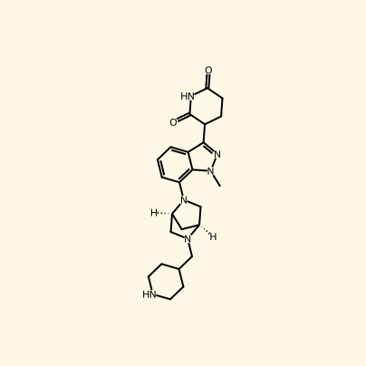 Cn1nc(C2CCC(=O)NC2=O)c2cccc(N3C[C@@H]4C[C@H]3CN4CC3CCNCC3)c21